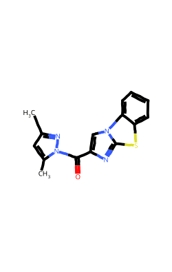 Cc1cc(C)n(C(=O)c2cn3c(n2)sc2ccccc23)n1